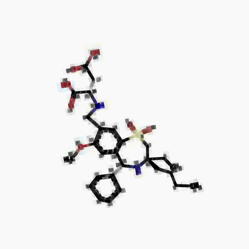 CCCC[C@]1(CC)CS(=O)(=O)c2cc(CN[C@@H](CC(=O)O)C(=O)O)c(OC)cc2[C@@H](c2ccccc2)N1